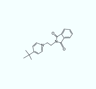 CC(C)(C)c1cc[n+](CCN2C(=O)c3ccccc3C2=O)cc1